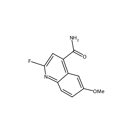 COc1ccc2nc(F)cc(C(N)=O)c2c1